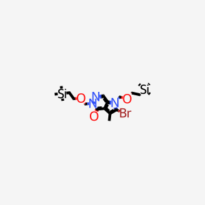 Cc1c(Br)n(COCC[Si](C)(C)C)c2cnn(COCC[Si](C)(C)C)c(=O)c12